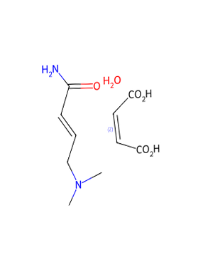 CN(C)CC=CC(N)=O.O.O=C(O)/C=C\C(=O)O